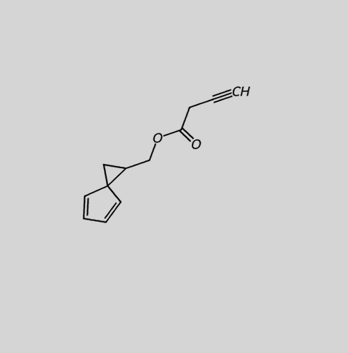 C#CCC(=O)OCC1CC12C=CC=C2